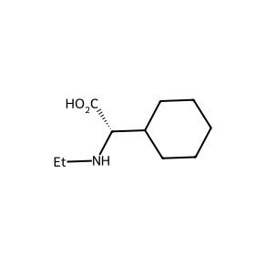 CCN[C@H](C(=O)O)C1CCCCC1